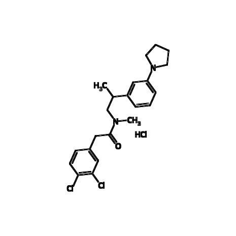 CC(CN(C)C(=O)Cc1ccc(Cl)c(Cl)c1)c1cccc(N2CCCC2)c1.Cl